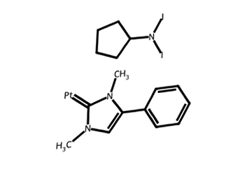 Cn1cc(-c2ccccc2)n(C)[c]1=[Pt].IN(I)C1CCCC1